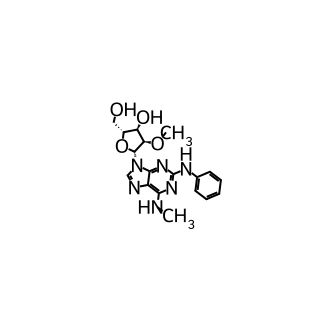 CNc1nc(Nc2ccccc2)nc2c1ncn2[C@@H]1O[C@H](CO)[C@@H](O)[C@H]1OC